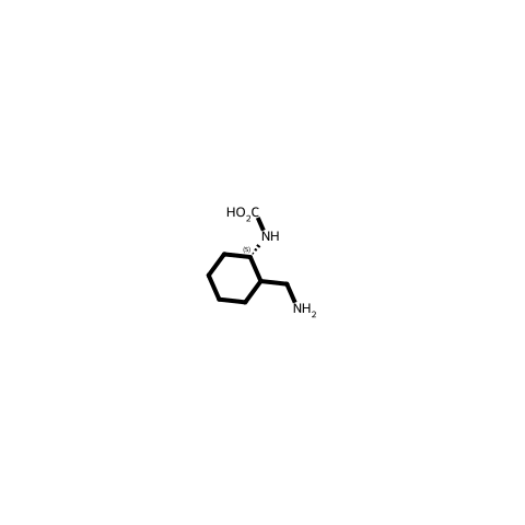 NCC1CCCC[C@@H]1NC(=O)O